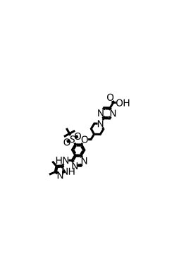 Cc1n[nH]c(Nc2ncnc3cc(OCC4CCN(c5cnc(C(=O)O)cn5)CC4)c(S(=O)(=O)C(C)(C)C)cc23)c1C